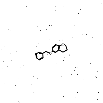 c1ccc(COc2ccc3c(c2)CCCO3)cc1